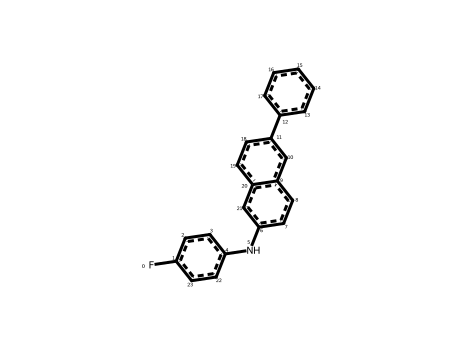 Fc1ccc(Nc2ccc3cc(-c4ccccc4)ccc3c2)cc1